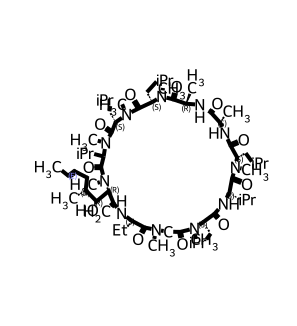 C=C1N[C@@H](CC)C(=O)N(C)CC(=O)N(C)[C@@H](CC(C)C)C(=O)N[C@@H](C(C)C)C(=O)N(C)[C@@H](CC(C)C)C(=O)N[C@@H](C)C(=O)N[C@H](C)C(=O)N(C)[C@@H](CC(C)C)C(=O)N(C)[C@@H](CC(C)C)C(=O)N(C)C(C(C)C)C(=O)N(C)[C@H]1[C@H](O)[C@H](C)C/C=C/C